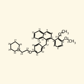 COc1cccc(-c2ccc3ccccc3c2Cc2ccc(OCCN3CCCCC3)cc2)c1OC